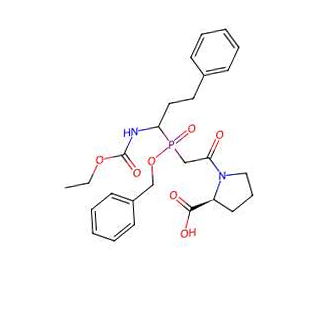 CCOC(=O)NC(CCc1ccccc1)P(=O)(CC(=O)N1CCC[C@H]1C(=O)O)OCc1ccccc1